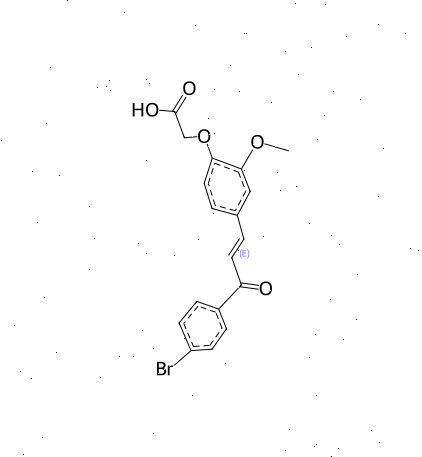 COc1cc(/C=C/C(=O)c2ccc(Br)cc2)ccc1OCC(=O)O